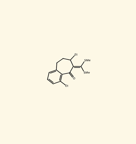 CCc1cccc2c1C(=O)C(=C(SC)SC)C(CC)CC2